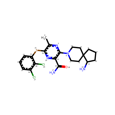 Cc1nc(N2CCC3(CCCC3N)CC2)c(C(N)=O)nc1Sc1cccc(Cl)c1Cl